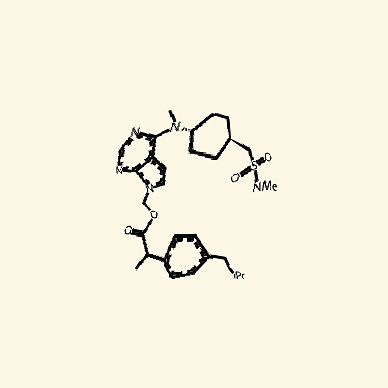 CNS(=O)(=O)C[C@H]1CC[C@H](N(C)c2ncnc3c2ccn3COC(=O)C(C)c2ccc(CC(C)C)cc2)CC1